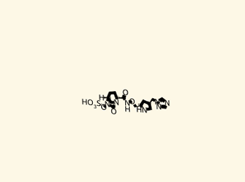 O=C(NOC[C@@H]1C[C@@H](Cn2cncn2)CN1)[C@@H]1CC[C@@H]2CN1C(=O)N2OS(=O)(=O)O